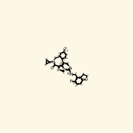 O=C1c2ncn3c(NCc4c(F)ccc5c4CCO5)ncc(c23)-c2ccc(C(F)(F)F)cc2CN1C1CC1